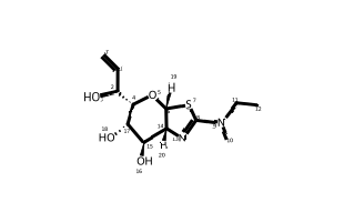 C=CC(O)[C@@H]1O[C@@H]2SC(N(C)CC)=N[C@@H]2[C@@H](O)[C@@H]1O